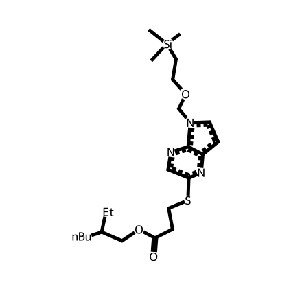 CCCCC(CC)COC(=O)CCSc1cnc2c(ccn2COCC[Si](C)(C)C)n1